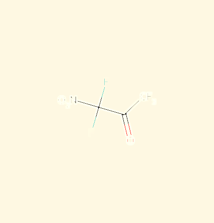 O=C(C(F)(F)F)C(F)(F)[N+](=O)[O-]